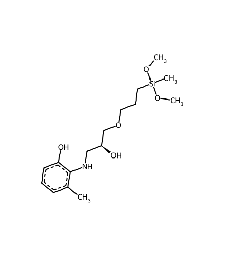 CO[Si](C)(CCCOC[C@@H](O)CNc1c(C)cccc1O)OC